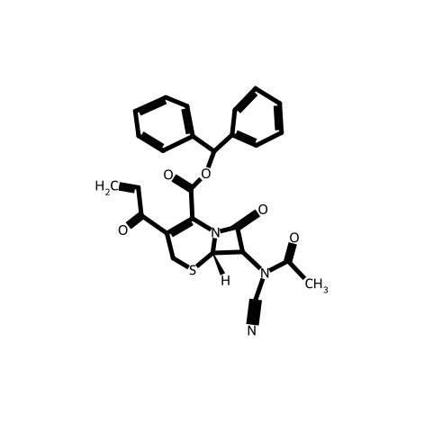 C=CC(=O)C1=C(C(=O)OC(c2ccccc2)c2ccccc2)N2C(=O)C(N(C#N)C(C)=O)[C@@H]2SC1